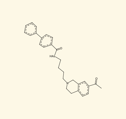 CC(=O)c1ccc2c(c1)CN(CCCC[AsH]C(=O)c1ccc(-c3ccccc3)cc1)CC2